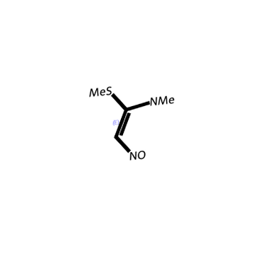 CN/C(=C\N=O)SC